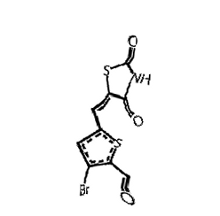 O=Cc1sc(C=C2SC(=O)NC2=O)cc1Br